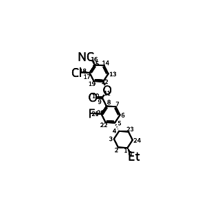 CC[C@H]1CC[C@H](c2ccc(C(=O)Oc3ccc(C#N)c(Cl)c3)c(F)c2)CC1